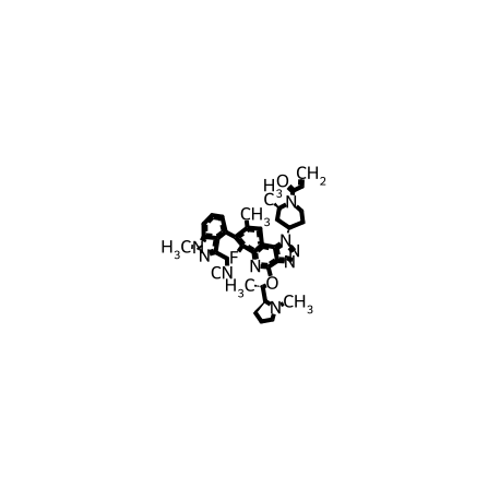 C=CC(=O)N1CC[C@H](n2nnc3c(O[C@@H](C)[C@@H]4CCCN4C)nc4c(F)c(-c5cccc6c5c(CC#N)nn6C)c(C)cc4c32)C[C@H]1C